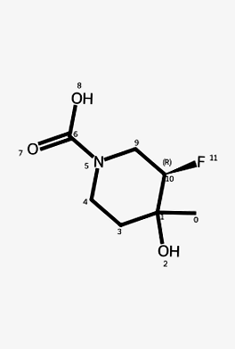 CC1(O)CCN(C(=O)O)C[C@H]1F